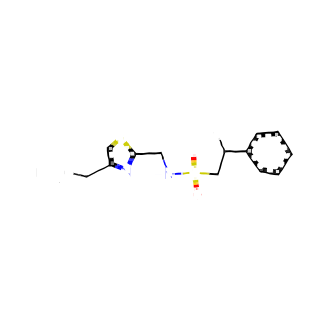 CC(CS(=O)(=O)NCc1nc(CC(=O)O)cs1)c1ccccc1